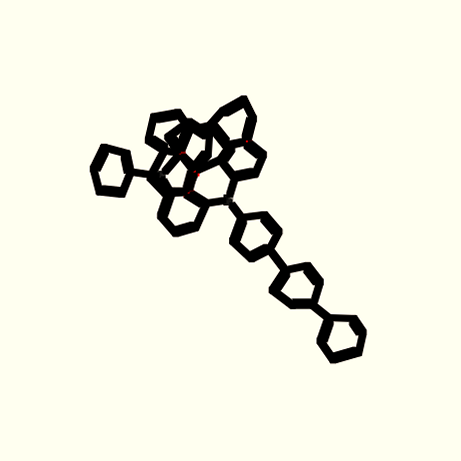 c1ccc(-c2ccc(-c3ccc(N(c4ccccc4-c4cccc5cccc(-c6ccccc6)c45)c4cccc5c4c4ccccc4n5-c4ccccc4)cc3)cc2)cc1